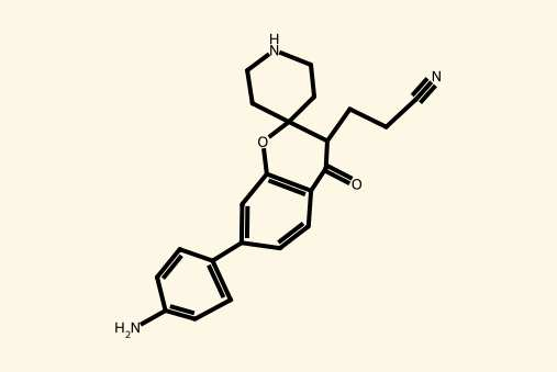 N#CCCC1C(=O)c2ccc(-c3ccc(N)cc3)cc2OC12CCNCC2